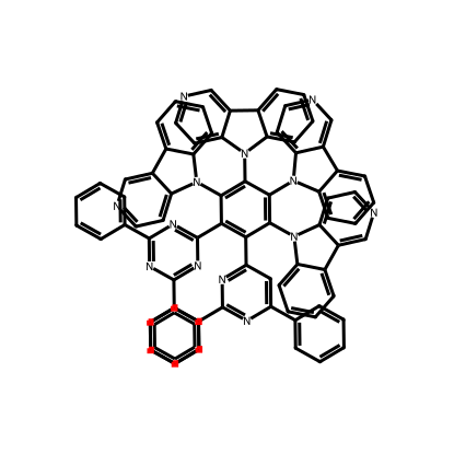 c1ccc(-c2cc(-c3c(-c4nc(-c5ccccc5)nc(-c5ccccc5)n4)c(-n4c5ccccc5c5cnccc54)c(-n4c5ccccc5c5cnccc54)c(-n4c5ccccc5c5cnccc54)c3-n3c4ccccc4c4cnccc43)nc(-c3ccccc3)n2)cc1